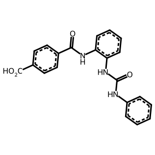 O=C(Nc1ccccc1)Nc1ccccc1NC(=O)c1ccc(C(=O)O)cc1